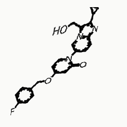 O=c1cc(OCc2ccc(F)cc2)ccn1-c1ccc2nc(C3CC3)c(CO)n2c1